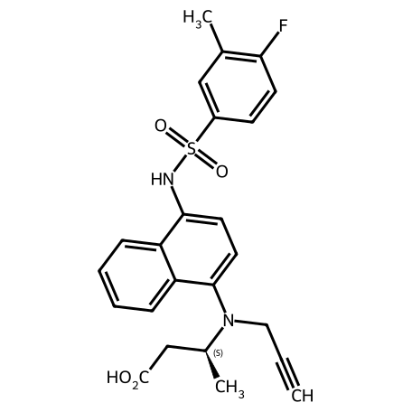 C#CCN(c1ccc(NS(=O)(=O)c2ccc(F)c(C)c2)c2ccccc12)[C@@H](C)CC(=O)O